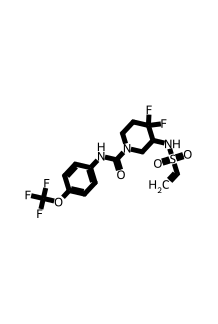 C=CS(=O)(=O)NC1CN(C(=O)Nc2ccc(OC(F)(F)F)cc2)CCC1(F)F